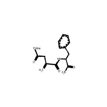 C=C(CC(=O)OC)C(=O)NC(Cc1ccccc1)C(N)=O